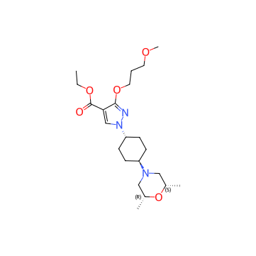 CCOC(=O)c1cn([C@H]2CC[C@H](N3C[C@@H](C)O[C@@H](C)C3)CC2)nc1OCCCOC